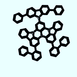 c1ccc(-c2ccc3c4ccc(-c5ccccc5)cc4n(-c4cc5c6c(c4)-n4c7ccccc7c7cc(-c8ccccc8-c8ccccc8)cc(c74)B6c4cc(-c6ccccc6-c6ccccc6)cc6c7ccccc7n-5c46)c3c2)cc1